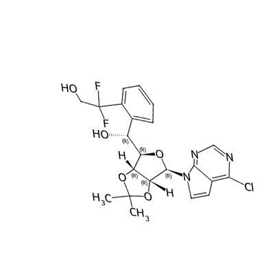 CC1(C)O[C@H]2[C@@H](O1)[C@H](n1ccc3c(Cl)ncnc31)O[C@@H]2[C@H](O)c1ccccc1C(F)(F)CO